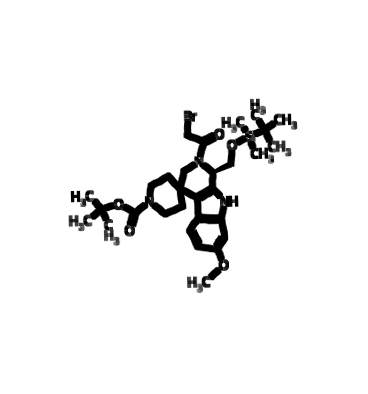 COc1ccc2c3c([nH]c2c1)[C@H](CO[Si](C)(C)C(C)(C)C)N(C(=O)CBr)CC31CCN(C(=O)OC(C)(C)C)CC1